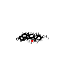 CC1=C2C[C@H]3[C@@H](CCC4=CC(=O)CC[C@@]43C)[C@@H]2CC[C@]12O[C@@H]1C[C@H](C)CNC1[C@H]2C